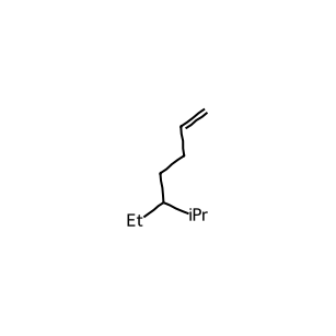 C=CCCC(CC)C(C)C